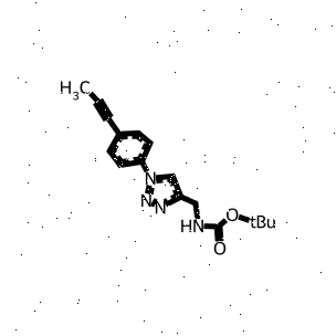 CC#Cc1ccc(-n2cc(CNC(=O)OC(C)(C)C)nn2)cc1